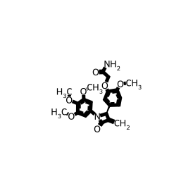 C=C1C(=O)N(c2cc(OC)c(OC)c(OC)c2)[C@H]1c1ccc(OC)c(OCC(N)=O)c1